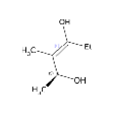 CC/C(O)=C(/C)[C@H](C)O